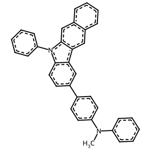 CN(c1ccccc1)c1ccc(-c2ccc3c(c2)c2cc4ccccc4cc2n3-c2ccccc2)cc1